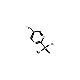 Cc1cnc(P(C)(C)=O)nc1